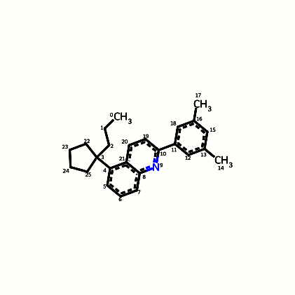 CCCC1(c2cccc3nc(-c4cc(C)cc(C)c4)ccc23)CCCC1